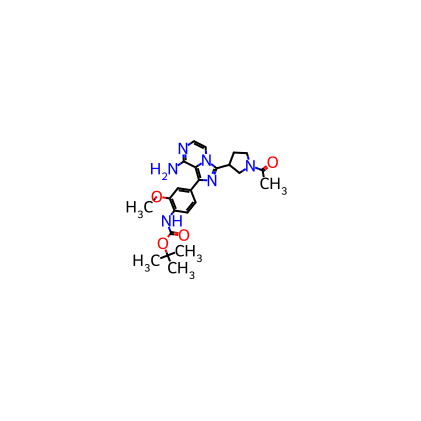 COc1cc(-c2nc(C3CCN(C(C)=O)C3)n3ccnc(N)c23)ccc1NC(=O)OC(C)(C)C